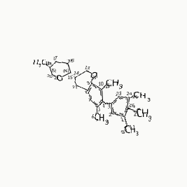 Cc1cc(-c2c(C)cc3c(c2C)OCC([C@H]2CC[C@H](C)CO2)C3)cc(C)c1C